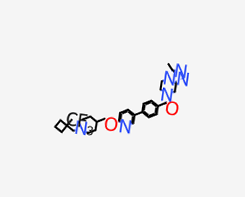 Cc1nnc2n1CCN(C(=O)c1ccc(-c3ccc(OCC4CCN(CC5(C(F)(F)F)CCC5)CC4)nc3)cc1)C2